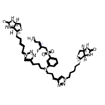 NC/C=C(\F)CS(=O)(=O)c1cccc(N(CCCc2cn(CCCCC[C@@H]3SC[C@@H]4NC(=O)N[C@@H]43)nn2)CCCc2cn(CCCCC[C@@H]3SC[C@@H]4NC(=O)N[C@@H]43)nn2)c1